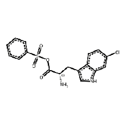 N[C@@H](Cc1c[nH]c2cc(Cl)ccc12)C(=O)OS(=O)(=O)c1ccccc1